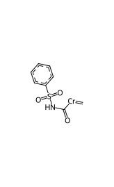 [CH2]=[Cr][C](=O)NS(=O)(=O)c1ccccc1